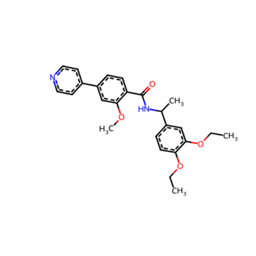 CCOc1ccc(C(C)NC(=O)c2ccc(-c3ccncc3)cc2OC)cc1OCC